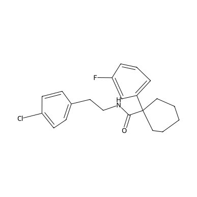 O=C(NCCc1ccc(Cl)cc1)C1(c2cccc(F)c2)CCCCC1